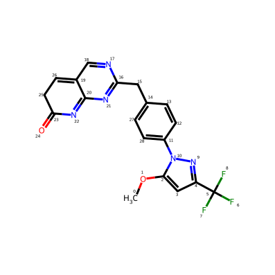 COc1cc(C(F)(F)F)nn1-c1ccc(Cc2ncc3c(n2)=NC(=O)CC=3)cc1